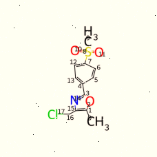 Cc1oc(-c2ccc(S(C)(=O)=O)cc2)nc1CCl